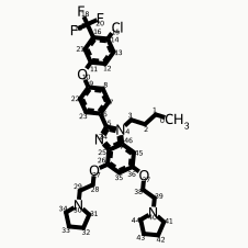 CCCCn1c(-c2ccc(Oc3ccc(Cl)c(C(F)(F)F)c3)cc2)nc2c(OCCN3CCCC3)cc(OCCN3CCCC3)cc21